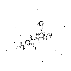 C=CCOc1cc(NC(=O)OC)ccc1C(=O)COC(=O)[C@H](CNC(=O)OC(C)(C)C)NC(=O)OCc1ccccc1